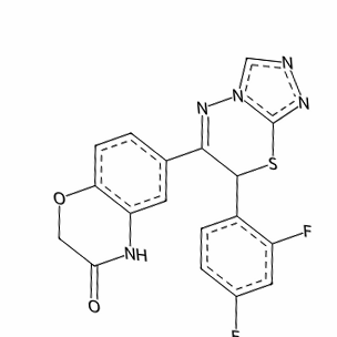 O=C1COc2ccc(C3=Nn4cnnc4SC3c3ccc(F)cc3F)cc2N1